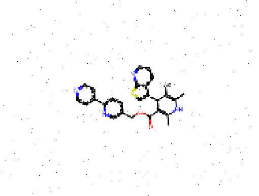 CC(=O)C1=C(C)NC(C)=C(C(=O)OCc2ccc(-c3ccncc3)nc2)C1c1csc2ncccc12